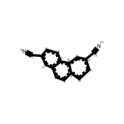 N#Cc1ccc2c(ccc3ccc(C#N)cc32)c1